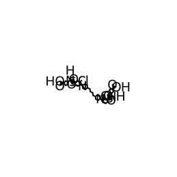 O=C(O)C1CCC(NS(=O)(=O)c2ccc(N3CCC(CCCCC4CCN(c5cccc(S(=O)(=O)NC6CCC(C(=O)O)C6)c5Cl)CC4)CC3)c(Cl)c2)C1